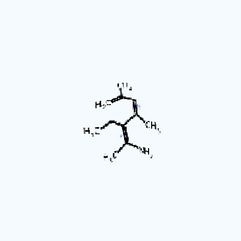 C=C(C)/C=C(C)\C(CC)=C(\C)N